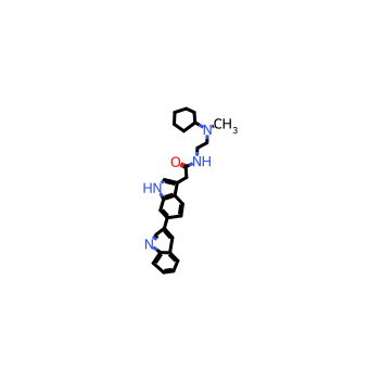 CN(CCNC(=O)Cc1c[nH]c2cc(-c3cnc4ccccc4c3)ccc12)C1CCCCC1